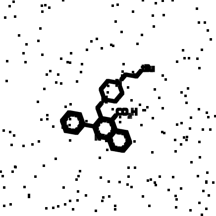 CC(C)(C)CCN1CCN(Cc2c(-c3ccccc3)nc3ccccc3c2C(=O)O)CC1